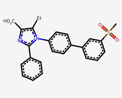 CCc1c(C(=O)O)nc(-c2ccccc2)n1-c1ccc(-c2cccc(S(C)(=O)=O)c2)cc1